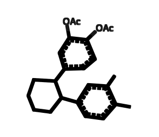 CC(=O)Oc1ccc(C2CCCCC2c2ccc(C)c(C)c2)cc1OC(C)=O